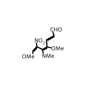 CNC(=C(/C=C/C=O)OC)/C(=C\OC)[N+](=O)[O-]